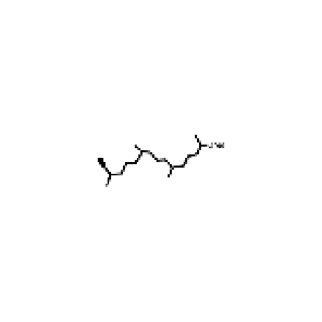 [C]#CC(C)CCCC(C)CCCC(C)CCCC(C)OC